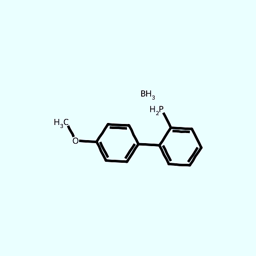 B.COc1ccc(-c2ccccc2P)cc1